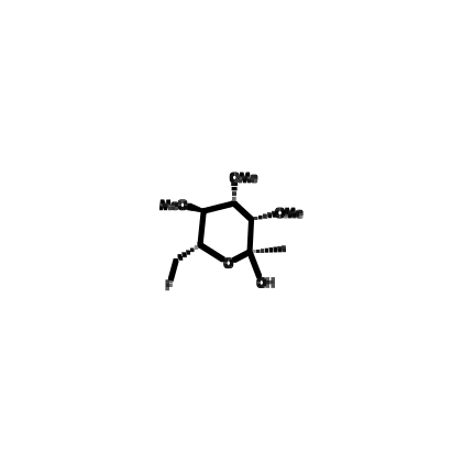 CO[C@H]1[C@H](OC)[C@H](OC)[C@@](C)(O)O[C@@H]1CF